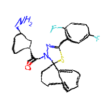 N[C@@H]1CC[C@H](C(=O)N2N=C(c3cc(F)ccc3F)SC23CCCc2ccccc23)C1